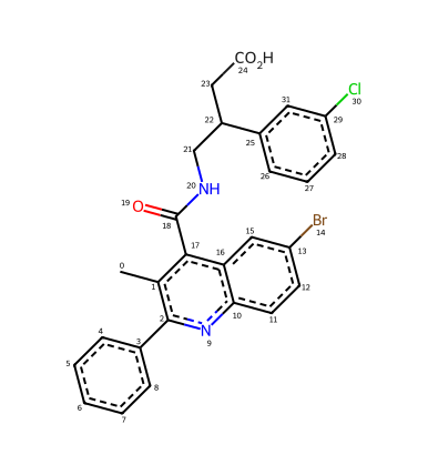 Cc1c(-c2ccccc2)nc2ccc(Br)cc2c1C(=O)NCC(CC(=O)O)c1cccc(Cl)c1